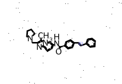 Cc1c(CN2CCCC2)nc2ccc(NC(=O)c3ccc(/C=C/c4ccccc4)cc3)cn12